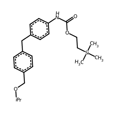 CC(C)OCc1ccc(Cc2ccc(NC(=O)OCC[Si](C)(C)C)cc2)cc1